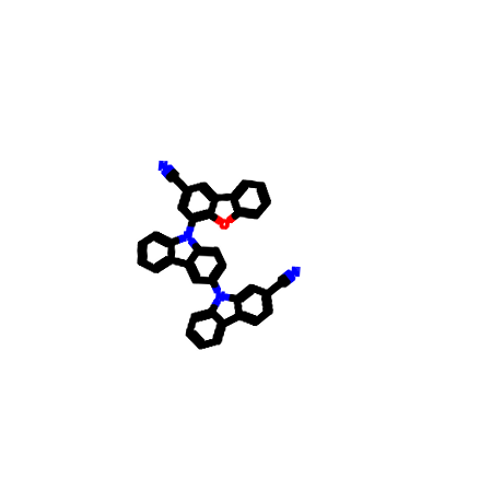 N#Cc1cc(-n2c3ccccc3c3cc(-n4c5ccccc5c5ccc(C#N)cc54)ccc32)c2oc3ccccc3c2c1